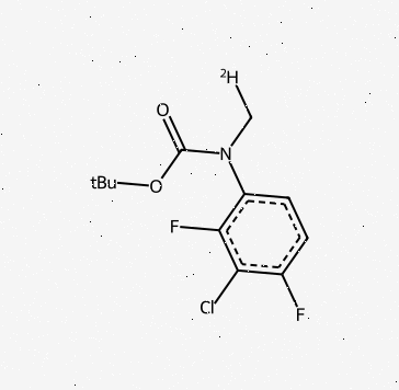 [2H]CN(C(=O)OC(C)(C)C)c1ccc(F)c(Cl)c1F